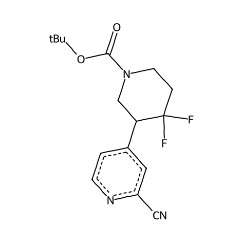 CC(C)(C)OC(=O)N1CCC(F)(F)C(c2ccnc(C#N)c2)C1